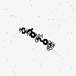 Cc1cc(N2CCN(C)CC2)nc2ccc(NC(=O)C=Cc3ccc(OC(SF)(SF)SF)cc3)cc12